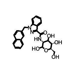 O=C(N[C@H]1C(O)O[C@H](CO)[C@@H](O)C1O)c1nn(Cc2ccc3ccccc3c2)c2ccccc12